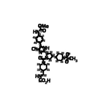 COC(=O)Nc1ccc(-c2[nH]c([C@@H]3C[C@H](C4CCN(S(C)(=O)=O)CC4)CN3C(=O)N3CCC(CNC(=O)O)CC3)nc2Cl)cc1